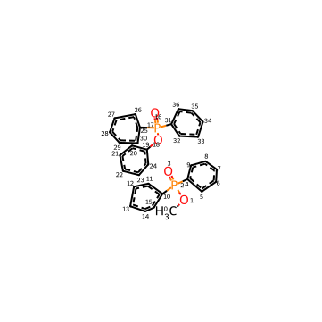 COP(=O)(c1ccccc1)c1ccccc1.O=P(Oc1ccccc1)(c1ccccc1)c1ccccc1